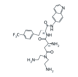 NCCN(CCN)C(=O)C[C@H](N)C(=O)N[C@H](CCc1ccc(C(F)(F)F)cc1)C(=O)Nc1ccc2ncccc2c1